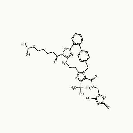 CCCc1nc(C(C)(C)O)c(C(=O)OCc2oc(=O)oc2C)n1Cc1ccc(-c2ccccc2-c2nnn(C(=O)CCCCON(O)O)n2)cc1